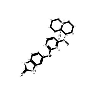 CN(c1ccnc(Nc2ccc3oc(=O)[nH]c3c2)n1)[C@H]1CCCN2CCCC[C@H]12